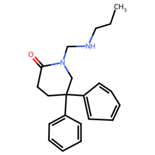 CCCNCN1CC(c2ccccc2)(c2ccccc2)CCC1=O